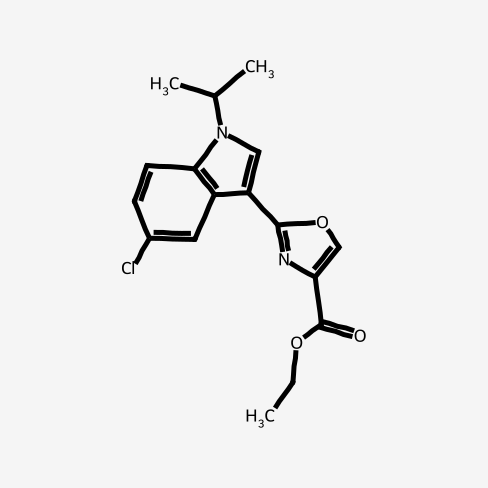 CCOC(=O)c1coc(-c2cn(C(C)C)c3ccc(Cl)cc23)n1